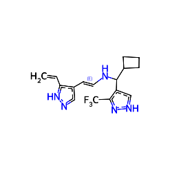 C=Cc1[nH]ncc1/C=C/NC(c1c[nH]nc1C(F)(F)F)C1CCC1